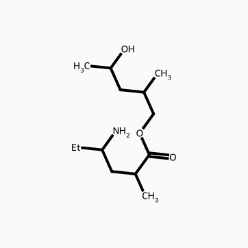 CCC(N)CC(C)C(=O)OCC(C)CC(C)O